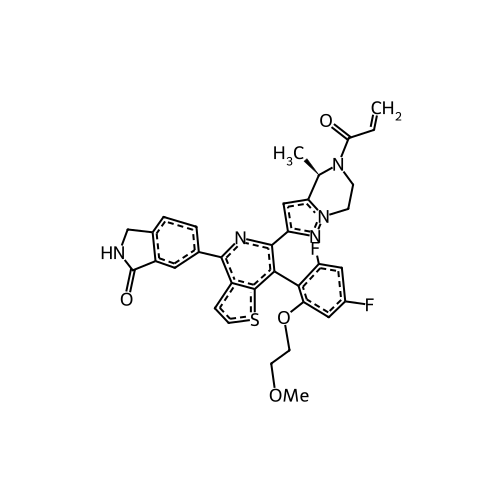 C=CC(=O)N1CCn2nc(-c3nc(-c4ccc5c(c4)C(=O)NC5)c4ccsc4c3-c3c(F)cc(F)cc3OCCOC)cc2[C@H]1C